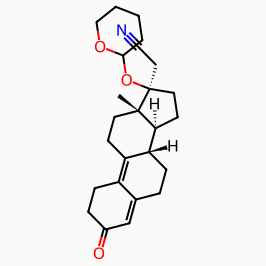 C[C@]12CCC3=C4CCC(=O)C=C4CC[C@H]3[C@@H]1CC[C@]2(CC#N)OC1CCCCO1